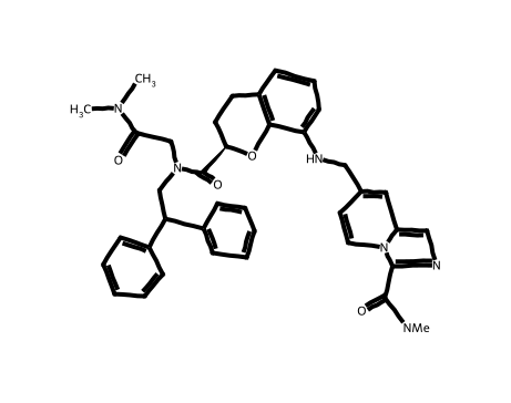 CNC(=O)c1ncc2cc(CNc3cccc4c3O[C@@H](C(=O)N(CC(=O)N(C)C)CC(c3ccccc3)c3ccccc3)CC4)ccn12